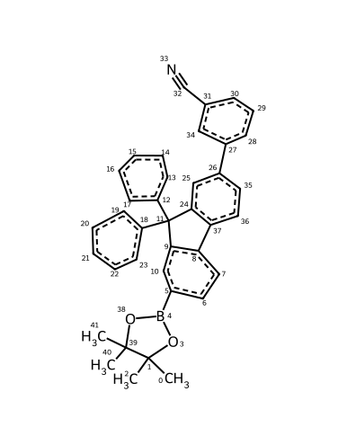 CC1(C)OB(c2ccc3c(c2)C(c2ccccc2)(c2ccccc2)c2cc(-c4cccc(C#N)c4)ccc2-3)OC1(C)C